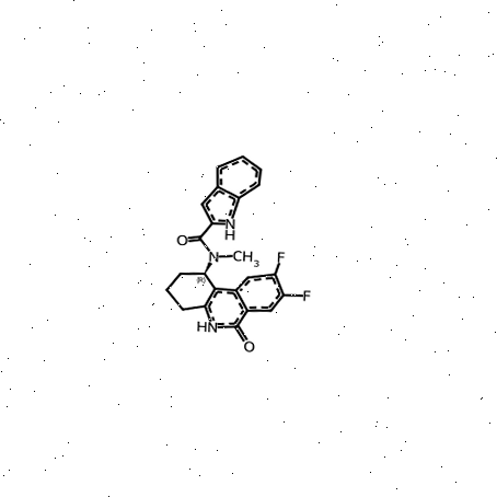 CN(C(=O)c1cc2ccccc2[nH]1)[C@@H]1CCCc2[nH]c(=O)c3cc(F)c(F)cc3c21